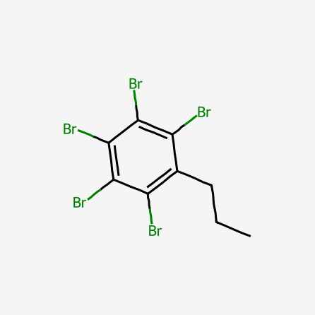 CCCc1c(Br)c(Br)c(Br)c(Br)c1Br